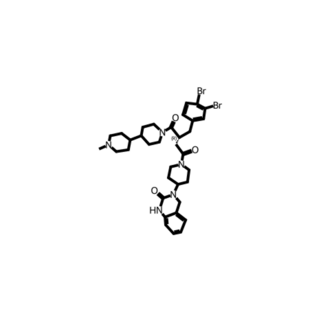 CN1CCC(C2CCN(C(=O)[C@@H](CC(=O)N3CCC(N4Cc5ccccc5NC4=O)CC3)Cc3ccc(Br)c(Br)c3)CC2)CC1